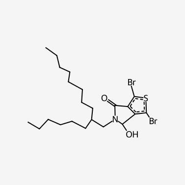 CCCCCCCCC(CCCCCC)CN1C(=O)c2c(Br)sc(Br)c2C1O